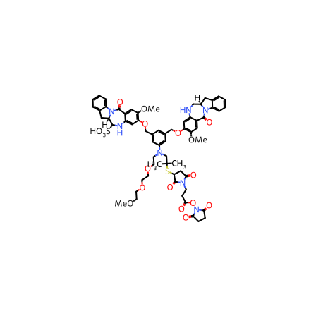 COCCOCCOCCN(CC(C)(C)SC1CC(=O)N(CCC(=O)ON2C(=O)CCC2=O)C1=O)c1cc(COc2cc3c(cc2OC)C(=O)N2c4ccccc4C[C@H]2CN3)cc(COc2cc3c(cc2OC)C(=O)N2c4ccccc4C[C@H]2C(S(=O)(=O)O)N3)c1